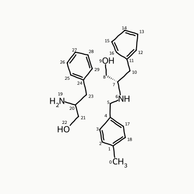 Cc1ccc(CN[C@H](CO)Cc2ccccc2)cc1.NC(CO)Cc1ccccc1